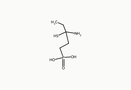 CCC(N)(S)CCP(=O)(O)O